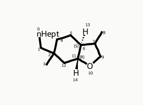 CCCCCCCCC1(C)CC[C@H]2C(C)CO[C@@H]2C1